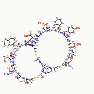 C[C@H]1CSCC(=O)N2CC3CN4CC5(CC3N(C5)C(=O)CSC[C@@H](C(N)=O)NC(=O)[C@H](C(C)(C)C)NC(=O)C(CC(=O)O)NC(=O)[C@H](Cc3ccc(O)cc3)NC(=O)[C@H](Cc3ccccc3)NC(=O)[C@H](CC(=O)O)NC(=O)[C@@H]3C[C@H](C(=O)O)[C@@H](NC(=O)[C@H](Cc5cccc6ccccc56)NC(=O)[C@H](CCC(=O)O)NC(=O)[C@H](CC(N)=O)NC(=O)[C@@H](C)NC1=O)C(=O)N[C@@H](CSCC4=O)C(=O)N3)C2